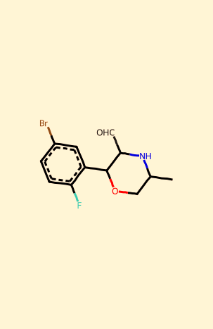 CC1COC(c2cc(Br)ccc2F)C(C=O)N1